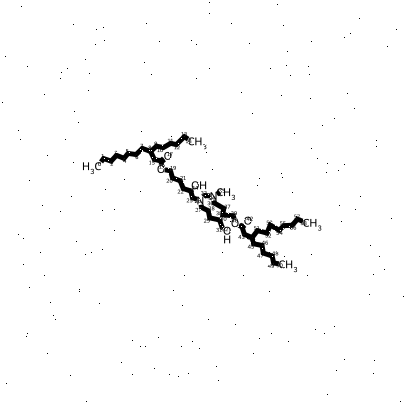 CCCCCCCCC(CCCCCC)CC(=O)OCCCCC(O)CN(CCCCCO)CN(C)CCCCOC(=O)CC(CCCCCC)CCCCCCCC